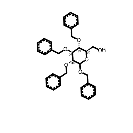 OC[C@H]1OC(OCc2ccccc2)[C@H](OCc2ccccc2)[C@@H](OCc2ccccc2)[C@@H]1OCc1ccccc1